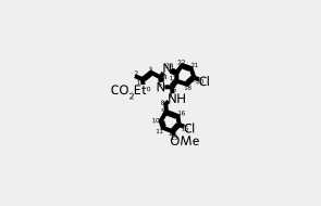 CCOC(=O)/C(C)=C\c1nc(NCc2ccc(OC)c(Cl)c2)c2cc(Cl)ccc2n1